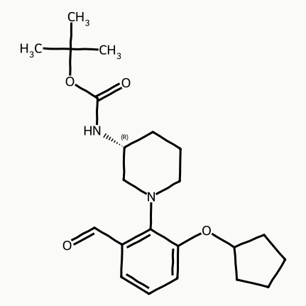 CC(C)(C)OC(=O)N[C@@H]1CCCN(c2c(C=O)cccc2OC2CCCC2)C1